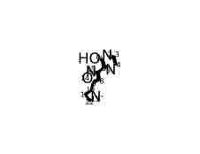 Oc1nccnc1-c1cc(C2CC[N]2)on1